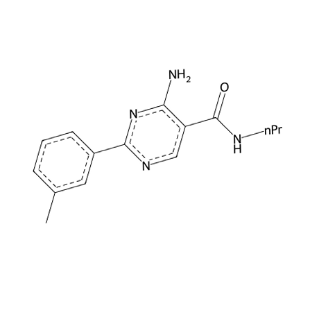 CCCNC(=O)c1cnc(-c2cccc(C)c2)nc1N